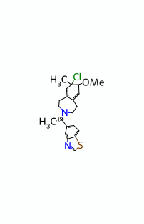 COC1C=C2CCN([C@@H](C)c3ccc4scnc4c3)CCC2=CC1(C)Cl